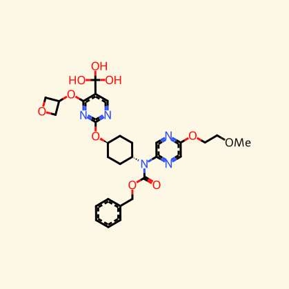 COCCOc1cnc(N(C(=O)OCc2ccccc2)[C@H]2CC[C@H](Oc3ncc(C(O)(O)O)c(OC4COC4)n3)CC2)cn1